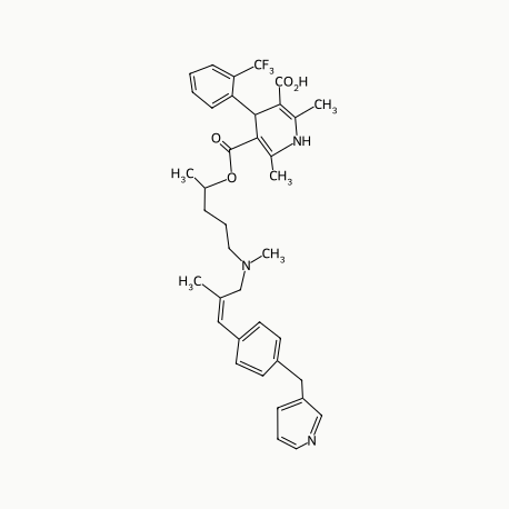 CC(=Cc1ccc(Cc2cccnc2)cc1)CN(C)CCCC(C)OC(=O)C1=C(C)NC(C)=C(C(=O)O)C1c1ccccc1C(F)(F)F